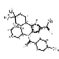 CC1CCC(C(=O)N(c2cc(C(=O)O)sc2C2CCC(C)(C)CC2)C2COCOC2)CC1